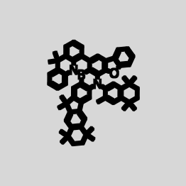 Cc1cc2c(cc1N1c3cc4c(cc3B3c5c(cc6c(oc7ccccc76)c51)-c1cccc5c1N3c1ccccc1C5(C)C)C(C)(C)c1cc3c(cc1-4)C(C)(C)CCC3(C)C)C(C)(C)CCC2(C)C